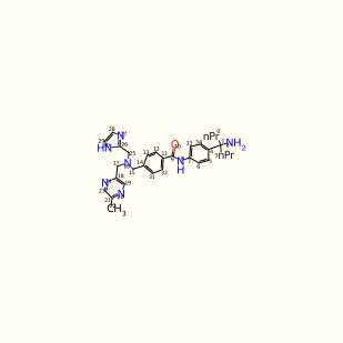 CCCC(N)(CCC)c1ccc(NC(=O)c2ccc(CN(Cc3cnc(C)cn3)Cc3ncc[nH]3)cc2)cc1